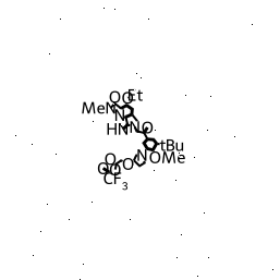 CCOc1cc2c(nc1C(=O)NC)C(=N)N(CC(=O)c1cc(N3CCC(OCC(=O)OC(=O)C(F)(F)F)C3)c(OC)c(C(C)(C)C)c1)C2